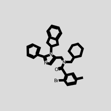 Cc1ccc(Br)c(C(=O)N(Cc2cnc(-c3ccccc3)n2C2Cc3ccccc3C2)CC2CCCCC2)c1